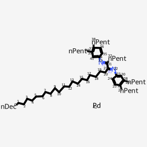 CCCCCCCCCCCCCCCCCCCCCCCCCCCCCCC(=N\c1ccc(CCCCC)c(CCCCC)c1)/C(CCCCC)=N/c1ccc(CCCCC)c(CCCCC)c1.[Pd]